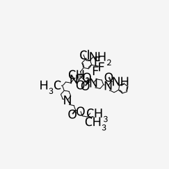 CC(C)COC(=O)CCN1CCC(C(C)CCN(C)C(=O)[C@@H](Cc2cc(Cl)c(N)c(C(F)(F)F)c2)OC(=O)N2CCC(N3CCc4ccccc4NC3=O)CC2)CC1